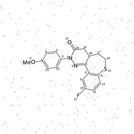 COc1ccc(N2N=C3c4cc(F)ccc4SCCC3CC2=O)cc1